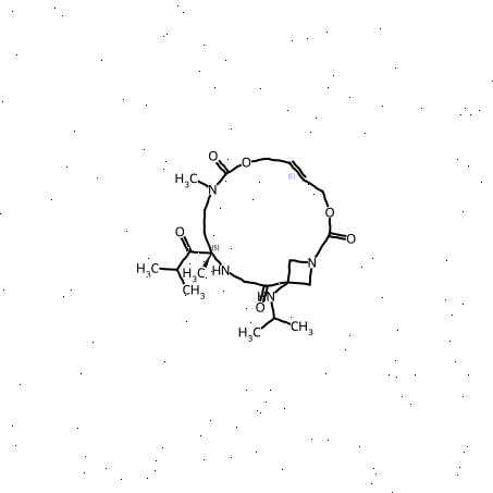 CC(C)NC12CN(C1)C(=O)OC/C=C/COC(=O)N(C)CC[C@@](C)(C(=O)C(C)C)NCC2=O